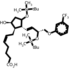 CC(C)(C)[Si](C)(C)OC1C[C@H](O)[C@H](C/C=C\CCCC(=O)O)[C@H]1/C=C/[C@H](COc1cccc(C(F)(F)F)c1)O[Si](C)(C)C(C)(C)C